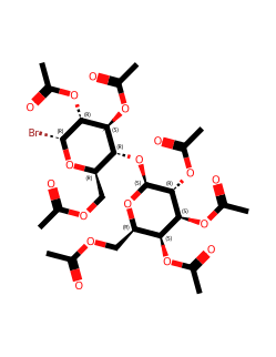 CC(=O)OC[C@H]1O[C@@H](O[C@H]2[C@H](OC(C)=O)[C@@H](OC(C)=O)[C@@H](Br)O[C@@H]2COC(C)=O)[C@H](OC(C)=O)[C@@H](OC(C)=O)[C@H]1OC(C)=O